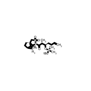 C=CCC[C@@H](O[Si](C)(C)C(C)(C)C)[C@@H](C)C(=O)N1[C@H]2CC3CC[C@@]2(CS1(=O)=O)C3(C)C